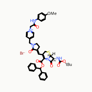 COc1ccc(NC(=O)C[n+]2ccc(CN3CCC(=CC4=C(C(=O)OC(c5ccccc5)c5ccccc5)N5C(=O)[C@@H](NC(=O)OC(C)(C)C)[C@H]5SC4)C3=O)cc2)cc1.[Br-]